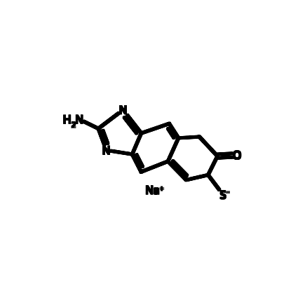 NC1=Nc2cc3c(cc2=N1)CC(=O)C([S-])C=3.[Na+]